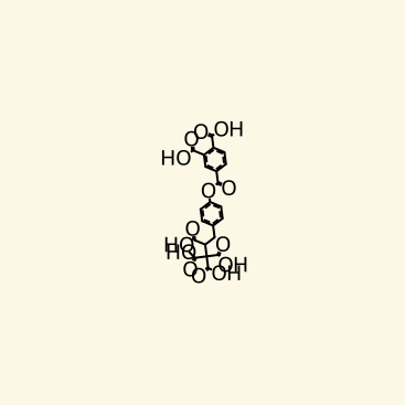 O=C(Oc1ccc(CC(C(=O)O)C(C(=O)O)(C(=O)O)C(=O)O)cc1)c1ccc(C(=O)O)c(C(=O)O)c1